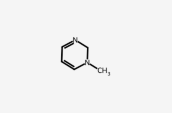 CN1C=CC=NC1